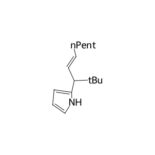 CCCCCC=CC(c1ccc[nH]1)C(C)(C)C